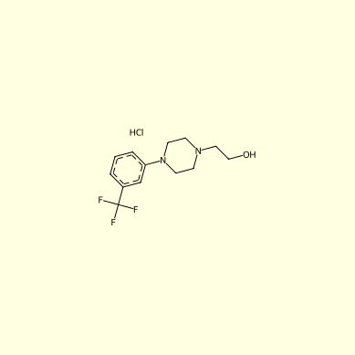 Cl.OCCN1CCN(c2cccc(C(F)(F)F)c2)CC1